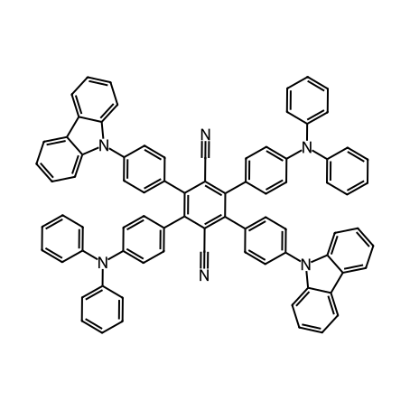 N#Cc1c(-c2ccc(N(c3ccccc3)c3ccccc3)cc2)c(-c2ccc(-n3c4ccccc4c4ccccc43)cc2)c(C#N)c(-c2ccc(N(c3ccccc3)c3ccccc3)cc2)c1-c1ccc(-n2c3ccccc3c3ccccc32)cc1